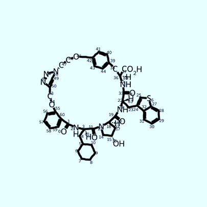 O=C1N[C@H](CC2CCCCC2)C(=O)N2C[C@@H](O)C[C@@H]2C(=O)N[C@@H](Cc2csc3ccccc23)C(=O)N[C@H](C(=O)O)Cc2ccc(cc2)OCCn2cc(nn2)COc2ccccc21